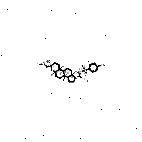 CCOC[C@@]1(O)CC[C@H]2[C@H](CC[C@@H]3[C@@H]2CC[C@]2(C)[C@@H](C(C)NS(=O)(=O)c4ccc(C#N)cc4)CC[C@@H]32)C1